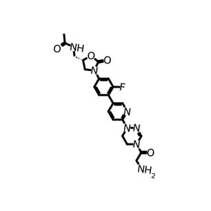 CC(=O)NC[C@H]1CN(c2ccc(-c3ccc(N4CCN(C(=O)CN)C=N4)nc3)c(F)c2)C(=O)O1